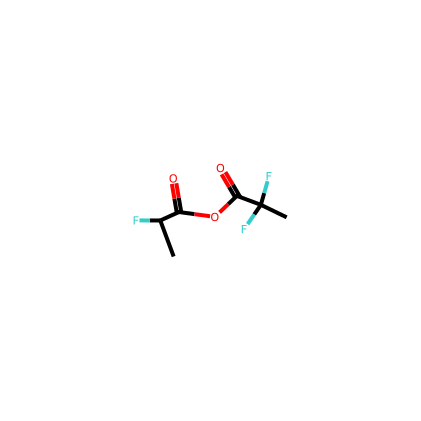 CC(F)C(=O)OC(=O)C(C)(F)F